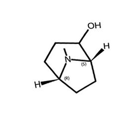 CN1[C@H]2CCC(O)[C@@H]1CC2